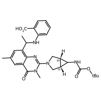 Cc1cc(C(C)Nc2ccccc2C(=O)O)c2nc(N3C[C@@H]4C(NC(=O)OC(C)(C)C)[C@@H]4C3)n(C)c(=O)c2c1